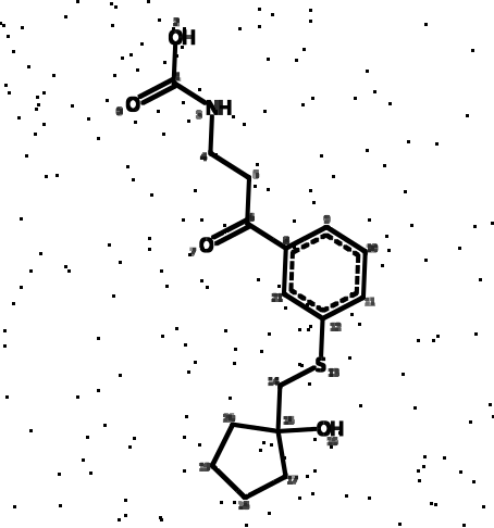 O=C(O)NCCC(=O)c1cccc(SCC2(O)CCCC2)c1